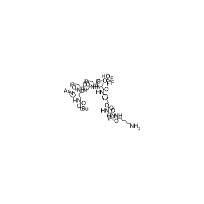 CC(=O)N1CCC[C@H]1C(=O)N[C@@H](CC(C)C)C(=O)N(CCCCNC(=O)OC(C)(C)C)CC(=O)N[C@@H](CC(C)C)C(=O)N[C@@H](CC(C)C)C(=O)Nc1ccc(COC(=O)N[C@H](CC(C)C)C(=O)NNC(=O)CCCCCN)cc1.O=C(O)C(F)(F)F